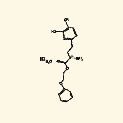 Cl.N[C@@H](CCc1ccc(O)c(O)c1)C(=O)OCCOc1ccccc1.O